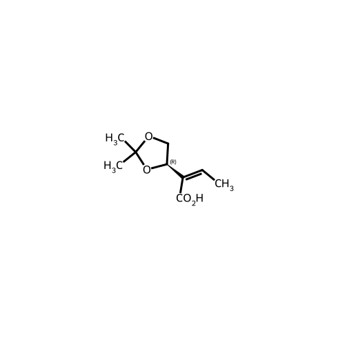 CC=C(C(=O)O)[C@@H]1COC(C)(C)O1